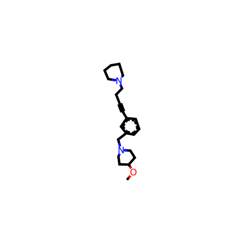 COC1CCN(Cc2cccc(C#CCCN3CCCCC3)c2)CC1